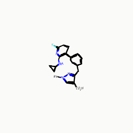 CCn1cc(C(=O)O)c(Cc2cccc(-c3ccc(F)nc3NC3CC3)c2)n1